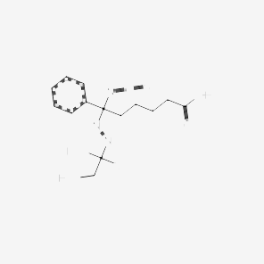 CCC(C)(C)N=NC(CCCCC(=O)O)(N=C=S)c1ccccc1